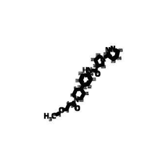 CCOCCC(=O)N1CCC(c2ccc(NC(=O)[C@H]3CCN(c4cccnn4)C3)cc2)CC1